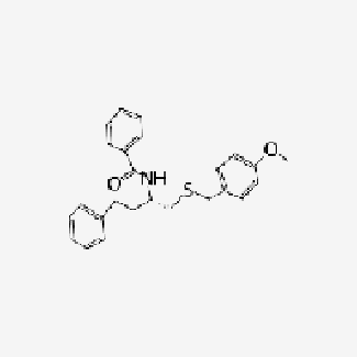 COc1ccc(CSC[C@H](CCc2ccccc2)NC(=O)c2ccccc2)cc1